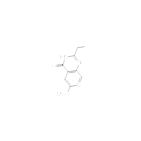 COc1cc2c(=O)[nH]c(CCl)nc2cn1